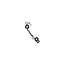 Cc1ccc(CCCCCCOc2ccc3c(c2)CC3)cc1